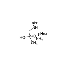 CCCCCCN.CCCNCP(C)(=O)O